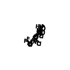 O=c1c(Cl)c(N2CCc3c(c(CCl)nn3Cc3ccccc3C(F)F)C2)cnn1C1NCCO1